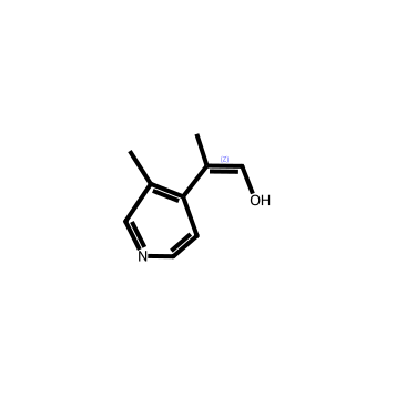 C/C(=C/O)c1ccncc1C